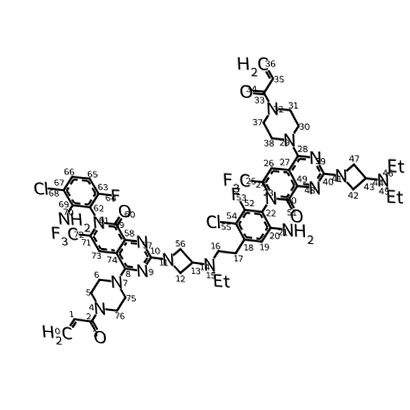 C=CC(=O)N1CCN(c2nc(N3CC(N(CC)CCc4cc(N)c(-n5c(C(F)(F)F)cc6c(N7CCN(C(=O)C=C)CC7)nc(N7CC(N(CC)CC)C7)nc6c5=O)c(F)c4Cl)C3)nc3c(=O)n(-c4c(F)ccc(Cl)c4N)c(C(F)(F)F)cc23)CC1